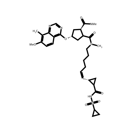 CNC(=O)[C@@H]1C[C@@H](Oc2ncnc3c(C)c(OC)ccc23)CC1C(=O)N(C)CCCC/C=C\[C@@H]1CC1C(=O)NS(=O)(=O)C1CC1